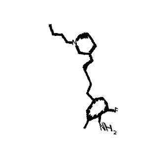 CCCCN1C=CC=C(/C=C/CCc2cc(C)c(N)c(F)c2)C1